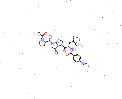 CC(=O)N1CCCC1C(=O)N1CC(=O)C2C1CCN2C(=O)C(CC(C)C)NC(=O)c1ccc(N)cc1